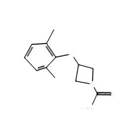 CNC(=O)N1CC(Oc2c(C)cccc2Cl)C1